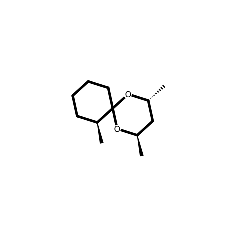 C[C@@H]1C[C@@H](C)OC2(CCCC[C@@H]2C)O1